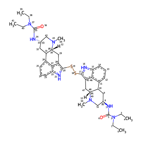 CCN(CC)C(=O)N[C@@H]1CC2c3cccc4[nH]c(SSc5[nH]c6cccc7c6c5C[C@@H]5C7C[C@H](NC(=O)N(CC)CC)CN5C)c(c34)C[C@H]2N(C)C1